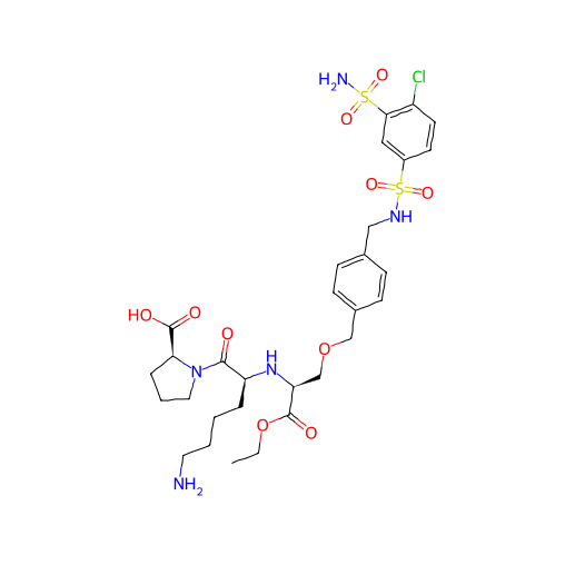 CCOC(=O)[C@H](COCc1ccc(CNS(=O)(=O)c2ccc(Cl)c(S(N)(=O)=O)c2)cc1)N[C@@H](CCCCN)C(=O)N1CCC[C@H]1C(=O)O